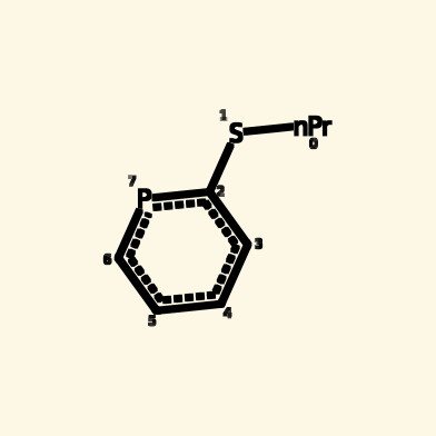 CCCSc1ccccp1